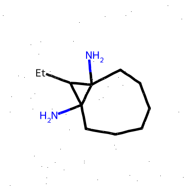 CCC1C2(N)CCCCCCC12N